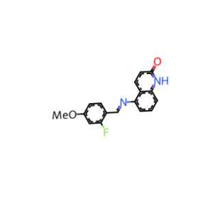 COc1ccc(/C=N/c2cccc3[nH]c(=O)ccc23)c(F)c1